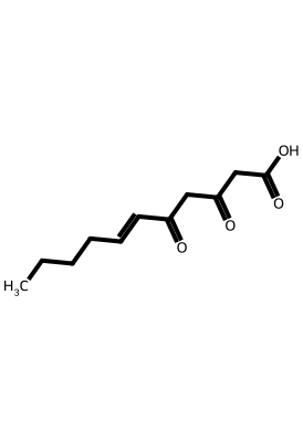 CCCCC=CC(=O)CC(=O)CC(=O)O